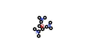 c1ccc(-c2cc(-c3ccc(-c4ccc5c(c4)c4ccccc4n5-c4ccccc4)c4oc5c(-c6ccc7c(c6)c6ccccc6n7-c6ccccc6)cccc5c34)cc(-c3ccccc3)n2)cc1